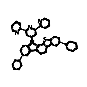 c1ccc(-c2ccc3sc4c(ccc5c6cc(-c7ccccc7)ccc6n(-c6cc(-c7ccccn7)nc(-c7ccccn7)c6)c54)c3c2)cc1